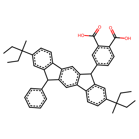 CCC(C)(CC)c1ccc2c(c1)C(c1ccccc1)c1cc3c(cc1-2)C(c1ccc(C(=O)O)c(C(=O)O)c1)c1cc(C(C)(CC)CC)ccc1-3